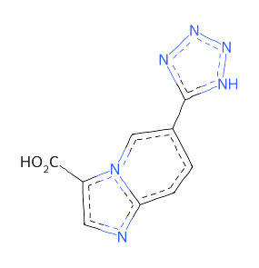 O=C(O)c1cnc2ccc(-c3nnn[nH]3)cn12